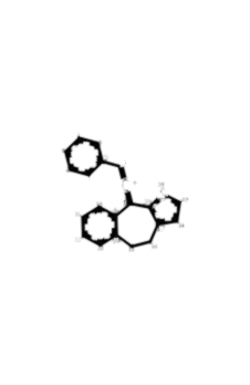 C(=Cc1ccccc1)=C1c2ccccc2CCc2ccsc21